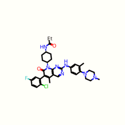 CCC(=O)N[C@H]1CC[C@@H](n2c(=O)c(-c3cc(F)ccc3Cl)c(C)c3cnc(Nc4ccc(N5CCN(C)CC5)c(C)c4)nc32)CC1